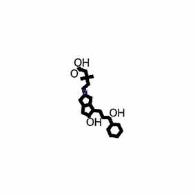 CC(C)(C/C=C1/CC2CC(O)C(CCC(O)C3CCCCC3)C2C1)CC(=O)O